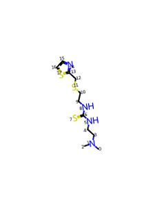 CN(C)CCNC(=S)NCCSCc1nccs1